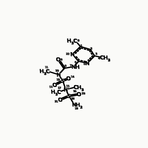 Cc1cc(C)nc(NC(=O)N(C)S(=O)(=O)[N+](C)(C)S(N)(=O)=O)n1